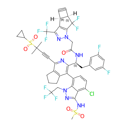 CC(C)(C#Cc1nc([C@H](Cc2cc(F)cc(F)c2)NC(=O)Cn2nc(C(F)(F)F)c3c2C(F)(F)[C@@H]2C#C[C@H]32)c(-c2ccc(Cl)c3c(NS(C)(=O)=O)nn(CC(F)(F)F)c23)c2c1CCC2)S(=O)(=O)C1CC1